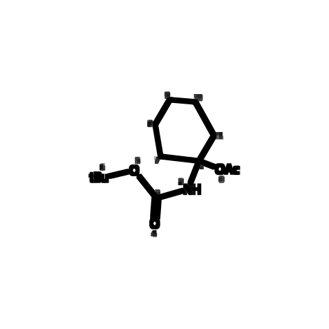 CC(=O)OC1(NC(=O)OC(C)(C)C)CCCCC1